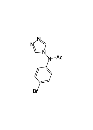 CC(=O)N(c1ccc(Br)cc1)n1cnnc1